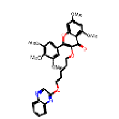 COc1cc(OC)c2c(=O)c(OCCCCCOc3cnc4ccccc4n3)c(-c3cc(OC)c(OC)c(OC)c3)oc2c1